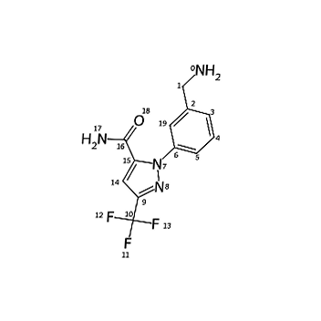 NCc1cccc(-n2nc(C(F)(F)F)cc2C(N)=O)c1